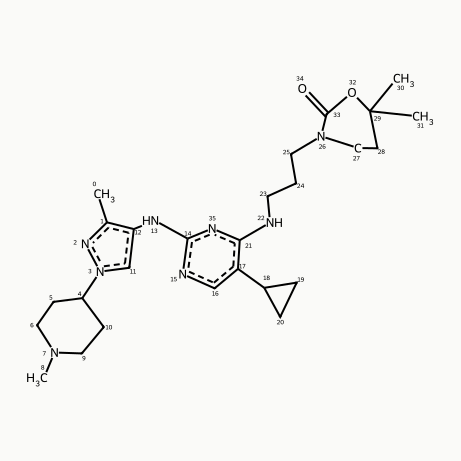 Cc1nn(C2CCN(C)CC2)cc1Nc1ncc(C2CC2)c(NCCCN2CCC(C)(C)OC2=O)n1